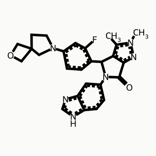 Cc1c2c(nn1C)C(=O)N(c1ccc3[nH]cnc3c1)C2c1ccc(N2CCC3(COC3)C2)cc1F